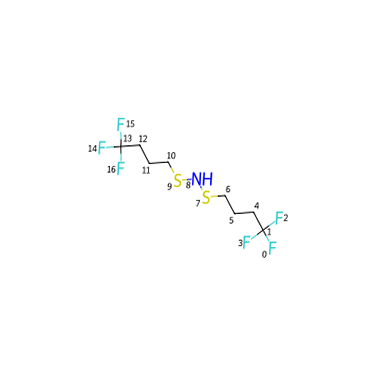 FC(F)(F)CCCSNSCCCC(F)(F)F